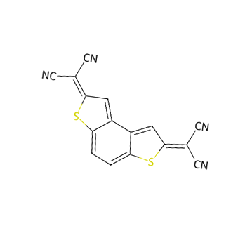 N#CC(C#N)=c1cc2c(ccc3sc(=C(C#N)C#N)cc32)s1